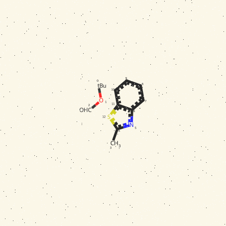 CC(C)(C)OC=O.Cc1nc2ccccc2s1